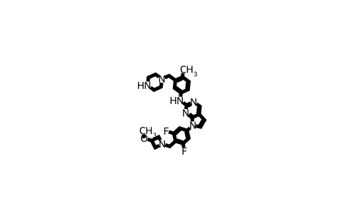 COC1CN(Cc2c(F)cc(-n3ccc4cnc(Nc5ccc(C)c(CN6CCNCC6)c5)nc43)cc2F)C1